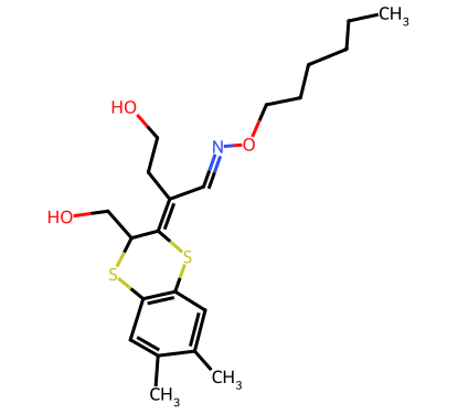 CCCCCCO/N=C/C(CCO)=C1\Sc2cc(C)c(C)cc2SC1CO